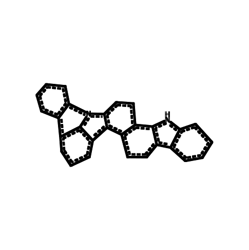 c1ccc2c(c1)[nH]c1c2ccc2c1ccc1c2c2cccc3c4ccccc4n1c32